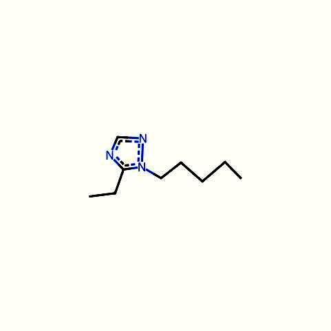 CCCCCn1ncnc1CC